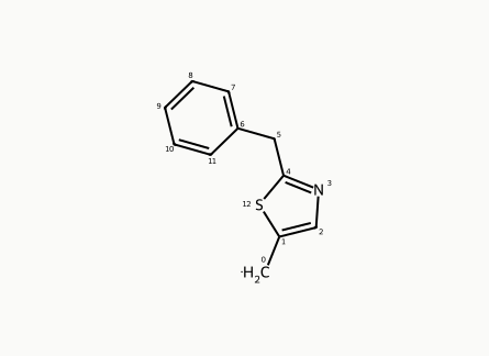 [CH2]c1cnc(Cc2ccccc2)s1